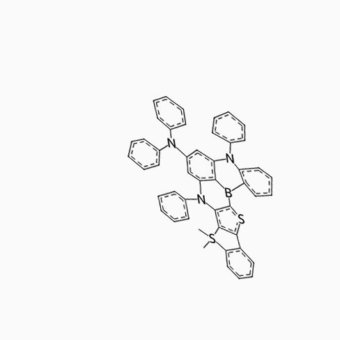 CS1(C)c2ccccc2-c2sc3c(c21)N(c1ccccc1)c1cc(N(c2ccccc2)c2ccccc2)cc2c1B3c1ccccc1N2c1ccccc1